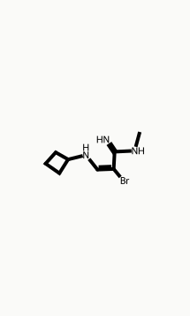 CNC(=N)/C(Br)=C\NC1CCC1